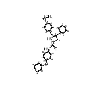 COc1ccc(C2=C(c3ccccc3)CN(C(=O)Nc3ccc(Oc4ccccc4)cc3)N2)cc1